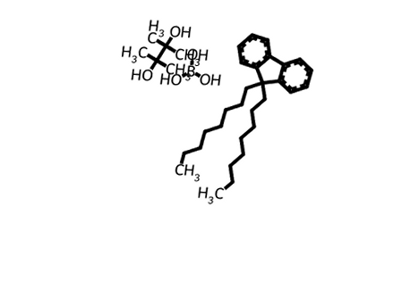 CC(C)(O)C(C)(C)O.CCCCCCCCC1(CCCCCCCC)c2ccccc2-c2ccccc21.OB(O)O